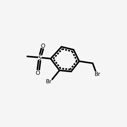 CS(=O)(=O)c1ccc(CBr)cc1Br